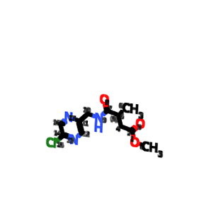 COC(=O)C[C@H](C)C(=O)NCc1cnc(Cl)cn1